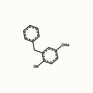 COc1ccc(N=O)c(Cc2ccccc2)c1